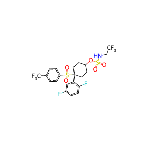 O=S(=O)(NCC(F)(F)F)OC1CCC(c2cc(F)ccc2F)(S(=O)(=O)c2ccc(C(F)(F)F)cc2)CC1